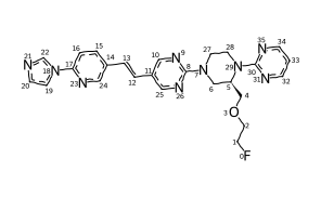 FCCOC[C@H]1CN(c2ncc(/C=C/c3ccc(-n4ccnc4)nc3)cn2)CCN1c1ncccn1